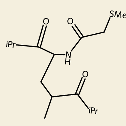 CSCC(=O)NC(CC(C)C(=O)C(C)C)C(=O)C(C)C